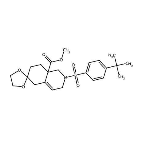 COC(=O)C12CCC3(CC1=CCN(S(=O)(=O)c1ccc(C(C)(C)C)cc1)C2)OCCO3